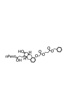 CCCCC[C@H](O)CC[C@@H]1[C@H]2Cc3cccc(OCC(=O)OCCC(=O)OCc4ccccc4)c3C[C@H]2C[C@H]1O